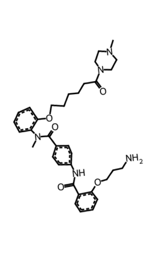 CN1CCN(C(=O)CCCCCOc2ccccc2N(C)C(=O)c2ccc(NC(=O)c3ccccc3OCCCN)cc2)CC1